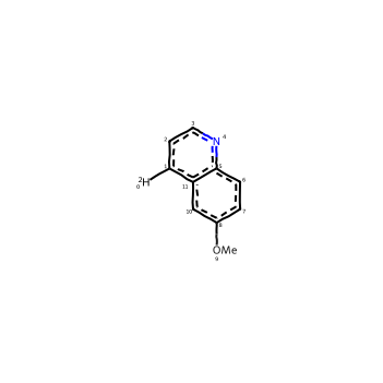 [2H]c1ccnc2ccc(OC)cc12